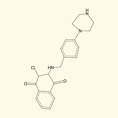 O=C1c2ccccc2C(=O)C(NCc2ccc(N3CCNCC3)cc2)C1Cl